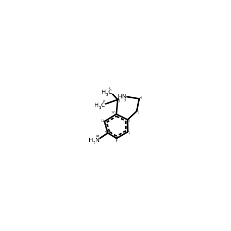 CC1(C)NCCc2ccc(N)cc21